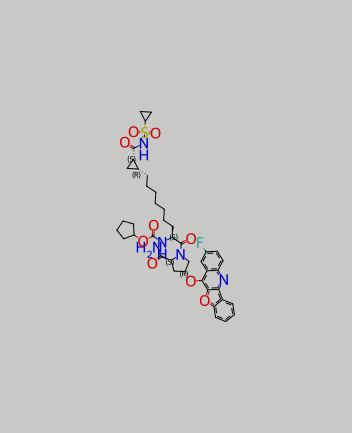 NC(=O)[C@@H]1C[C@@H](Oc2c3cc(F)ccc3nc3c2oc2ccccc23)CN1C(=O)[C@H](CCCCCCC[C@@H]1C[C@@H]1C(=O)NS(=O)(=O)C1CC1)NC(=O)OC1CCCC1